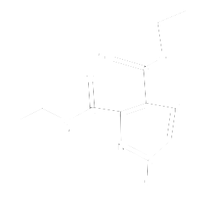 CCOC(=O)c1ccc(Cl)nc1C(=O)OCC